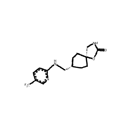 O=C1NC[C@]2(CC[C@@H](CNc3ccc(C(F)(F)F)cn3)CC2)O1